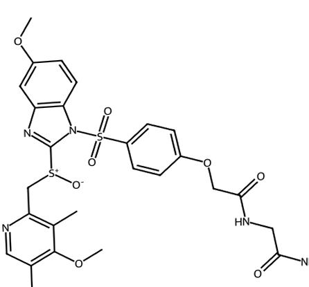 COc1ccc2c(c1)nc([S+]([O-])Cc1ncc(C)c(OC)c1C)n2S(=O)(=O)c1ccc(OCC(=O)NCC(N)=O)cc1